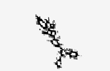 CC1(C)c2ccccc2C2(c3ccccc3-c3cc(-c4ccc(C5=CC(c6ccccn6)=NC(c6ccccc6)N5)cc4)ccc32)c2ccccc21